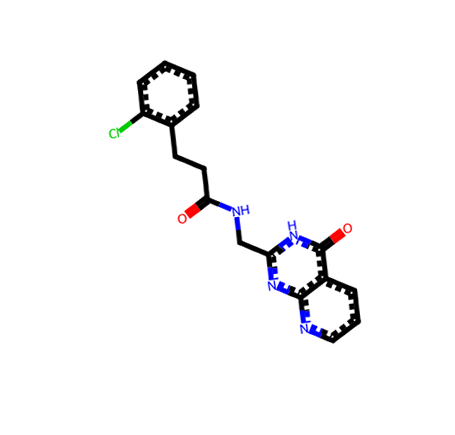 O=C(CCc1ccccc1Cl)NCc1nc2ncccc2c(=O)[nH]1